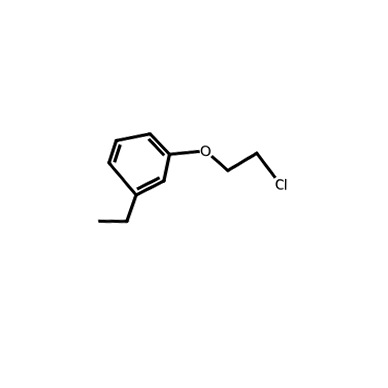 CCc1cccc(OCCCl)c1